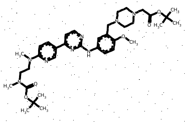 COc1ccc(Nc2nccc(-c3ccc(N(C)CCN(C)C(=O)OC(C)(C)C)nc3)n2)cc1CN1CCN(CC(=O)OC(C)(C)C)CC1